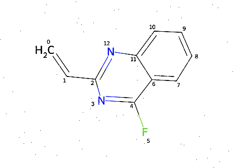 C=Cc1nc(F)c2ccccc2n1